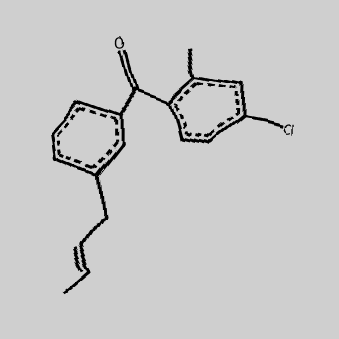 CC=CCc1cccc(C(=O)c2ccc(Cl)cc2C)c1